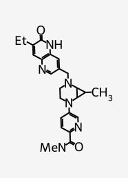 CCc1cc2ncc(CN3CCN(c4ccc(C(=O)NC)nc4)C4C(C)C43)cc2[nH]c1=O